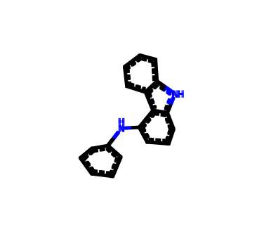 c1ccc(Nc2cccc3[nH]c4ccccc4c23)cc1